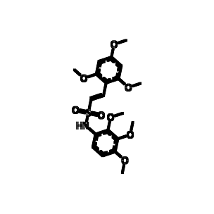 COc1cc(OC)c(C=CS(=O)(=O)Nc2ccc(OC)c(OC)c2OC)c(OC)c1